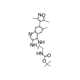 Cc1cc2c(NCCNC(=O)OC(C)(C)C)c(N)cnc2cc1-c1c(C)noc1C